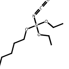 CCCCCO[Si](N=C=O)(OCC)OCC